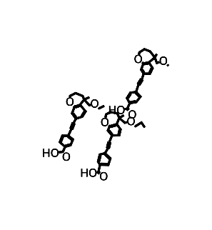 CCCOCC1(C)CCCOc2cc(C#Cc3ccc(C(=O)O)cc3)ccc21.CCOCC1(C)CCCOc2cc(C#Cc3ccc(C(=O)O)cc3)ccc21.COCC1(C)CCCOc2cc(C#Cc3ccc(C(=O)O)cc3)ccc21